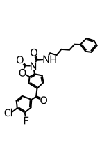 O=C(c1ccc(Cl)c(F)c1)c1ccc2c(c1)oc(=O)n2C(=O)NCCCCCc1ccccc1